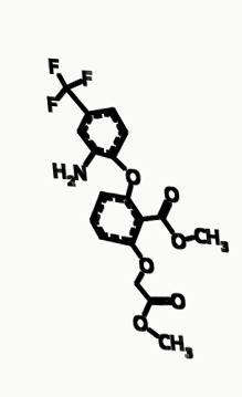 COC(=O)COc1cccc(Oc2ccc(C(F)(F)F)cc2N)c1C(=O)OC